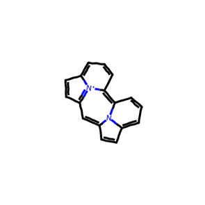 c1cc2ccc3cc4ccc5cccc(c(c1)n23)[n+]5=4